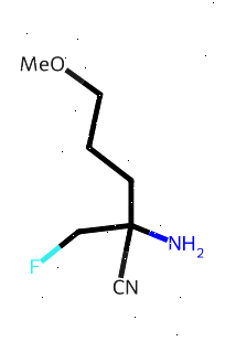 COCCCC(N)(C#N)CF